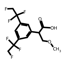 COCC(C(=O)O)c1cc(C(F)(F)CF)cc(C(F)(F)CF)c1